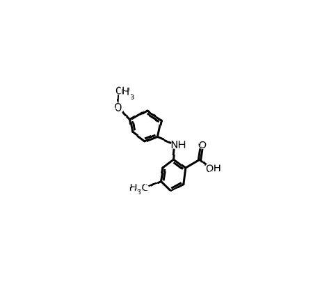 COc1ccc(Nc2cc(C)ccc2C(=O)O)cc1